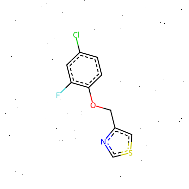 Fc1cc(Cl)ccc1OCc1cscn1